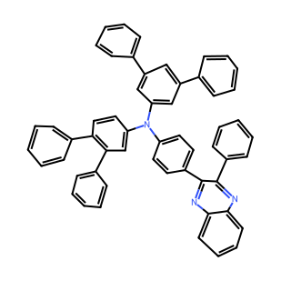 c1ccc(-c2cc(-c3ccccc3)cc(N(c3ccc(-c4nc5ccccc5nc4-c4ccccc4)cc3)c3ccc(-c4ccccc4)c(-c4ccccc4)c3)c2)cc1